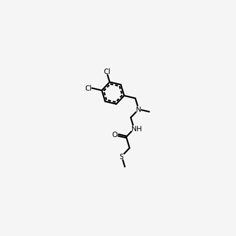 CSCC(=O)NCN(C)Cc1ccc(Cl)c(Cl)c1